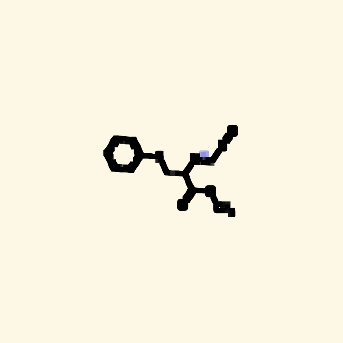 COC(=O)C(CSc1ccccc1)/N=C/B=O